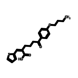 CCCCOc1ccc(C(=O)CCC/C(=C/c2cccs2)C(=O)O)cc1